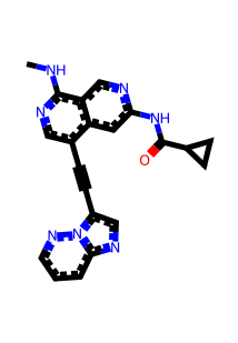 CNc1ncc(C#Cc2cnc3cccnn23)c2cc(NC(=O)C3CC3)ncc12